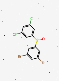 [O-][S+](c1cc(Cl)cc(Cl)c1)c1cc(Br)cc(Br)c1